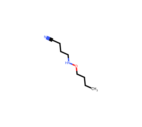 CCCCONCCCC#N